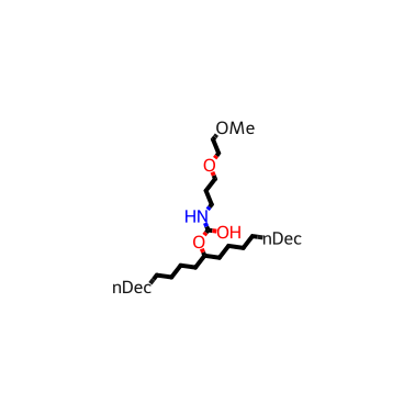 CCCCCCCCCCCCCCC(CCCCCCCCCCCCCC)OC(O)NCCCOCCOC